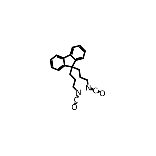 O=C=NCCCC1(CCCN=C=O)c2ccccc2-c2ccccc21